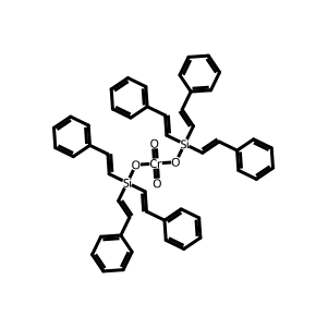 [O]=[Cr](=[O])([O][Si](C=Cc1ccccc1)(C=Cc1ccccc1)C=Cc1ccccc1)[O][Si](C=Cc1ccccc1)(C=Cc1ccccc1)C=Cc1ccccc1